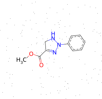 COC(=O)C1=NN(c2ccccc2)NC1